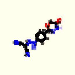 N#CC(C#N)=NNc1ccc(C2=NNC(=O)CO2)cc1